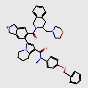 CN(C(=O)c1cc(-c2cc3c(cc2C(=O)N2Cc4ccccc4C[C@H]2CN2CCOCC2)CNC3)n2c1CCCC2)c1ccc(OCc2ccccc2)cc1